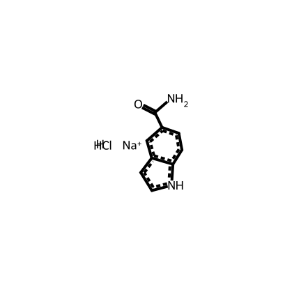 Cl.NC(=O)c1ccc2[nH]ccc2c1.[H-].[Na+]